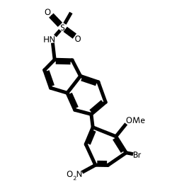 COc1c(Br)cc([N+](=O)[O-])cc1-c1ccc2cc(NS(C)(=O)=O)ccc2c1